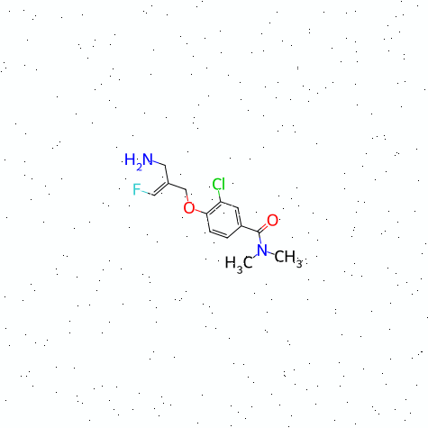 CN(C)C(=O)c1ccc(OCC(=CF)CN)c(Cl)c1